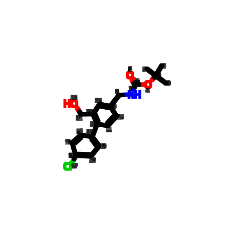 CC(C)(C)OC(=O)NCc1ccc(-c2ccc(Cl)cc2)c(CO)c1